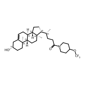 C[C@H](CCC(=O)N1CCC(OC(F)(F)F)CC1)[C@H]1CC[C@H]2[C@@H]3CC=C4C[C@@H](O)CC[C@]4(C)[C@H]3CC[C@]12C